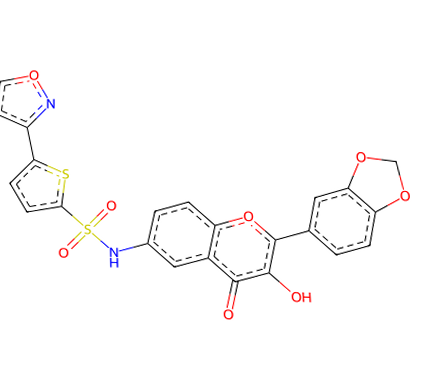 O=c1c(O)c(-c2ccc3c(c2)OCO3)oc2ccc(NS(=O)(=O)c3ccc(-c4ccon4)s3)cc12